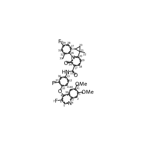 COc1cc2ncc(F)c(Oc3ccc(NC(=O)c4ccc(C5(C)CC5)n(-c5ccc(F)cc5C)c4=O)cc3F)c2cc1OC